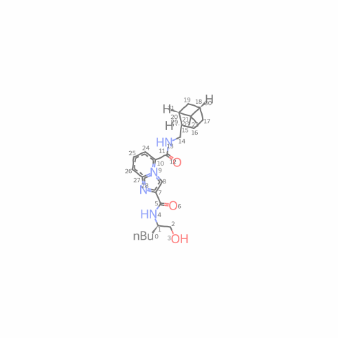 CCCC[C@H](CO)NC(=O)c1cn2c(C(=O)NC[C@@H]3CC[C@H]4C[C@@H]3C4(C)C)cccc2n1